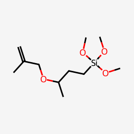 C=C(C)COC(C)CC[Si](OC)(OC)OC